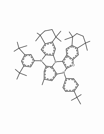 Cc1cc2c3c(c1)N(c1ccc(C(C)(C)C)cc1)c1oc4cc5c(cc4c1B3c1cc3c(cc1N2c1cc(C(C)(C)C)cc(C(C)(C)C)c1)C(C)(C)CCC3(C)C)C(C)(C)CCC5(C)C